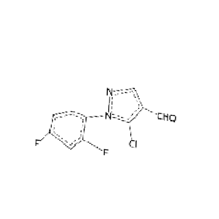 O=Cc1cnn(-c2ccc(F)cc2F)c1Cl